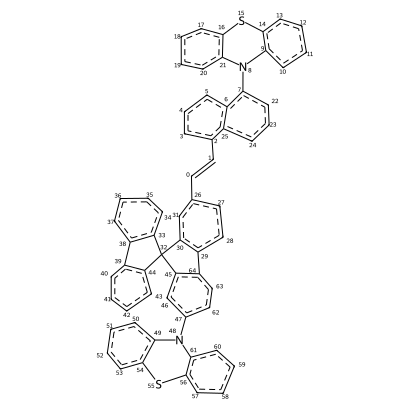 C(=C\c1cccc2c(N3c4ccccc4Sc4ccccc43)cccc12)/c1ccc2c(c1)C1(c3ccccc3-c3ccccc31)c1cc(N3c4ccccc4Sc4ccccc43)ccc1-2